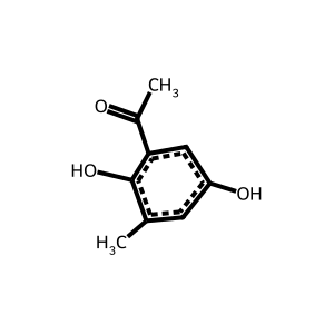 CC(=O)c1cc(O)cc(C)c1O